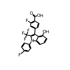 O=C(O)c1ccc(-c2c(C(F)(F)F)n(-c3ccc(F)cc3)c3cccc(O)c23)cc1F